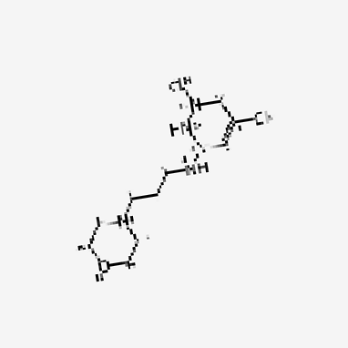 ClC1=CN(NCCCN2CCOCC2)NN(Cl)C1